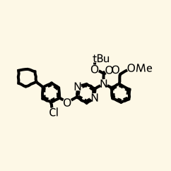 COC(=O)c1ccccc1N(C(=O)OC(C)(C)C)c1cnc(Oc2ccc(C3CCCCC3)cc2Cl)cn1